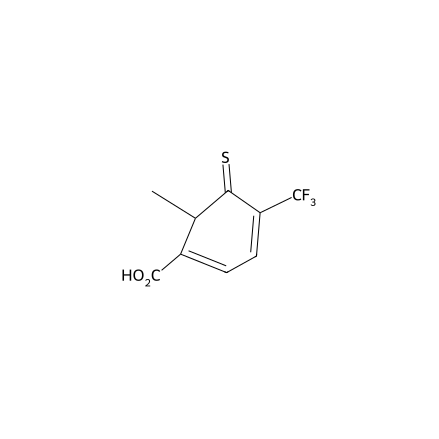 CC1C(=S)C(C(F)(F)F)=CC=C1C(=O)O